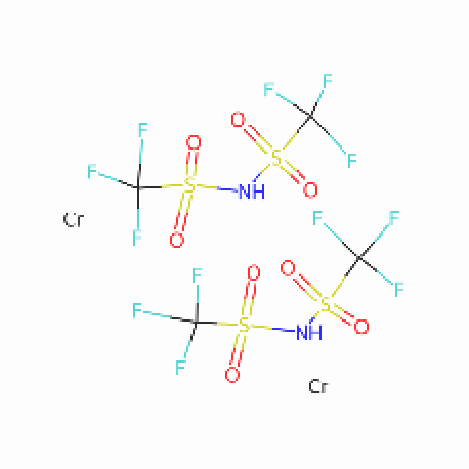 O=S(=O)(NS(=O)(=O)C(F)(F)F)C(F)(F)F.O=S(=O)(NS(=O)(=O)C(F)(F)F)C(F)(F)F.[Cr].[Cr]